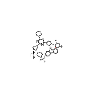 Fc1ccc(-c2ccc(-c3nc(-c4ccccc4)nc(-c4ccccc4)n3)cc2-n2c3ccccc3c3ccc(-c4ccc(C(F)(F)F)cc4C(F)(F)F)cc32)c(F)c1